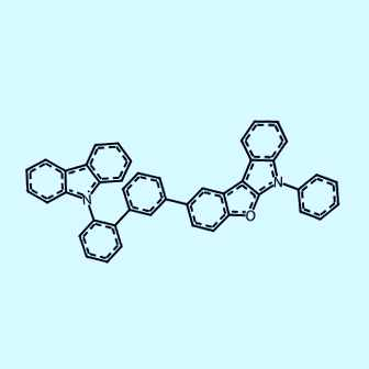 c1ccc(-n2c3ccccc3c3c4cc(-c5cccc(-c6ccccc6-n6c7ccccc7c7ccccc76)c5)ccc4oc32)cc1